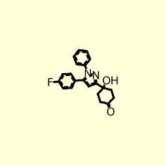 O=C1CCC(O)(c2cc(-c3ccc(F)cc3)n(-c3ccccc3)n2)CC1